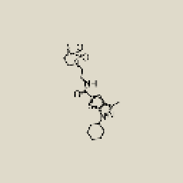 Cc1nn(C2CCCCC2)c2sc(C(=O)NCCN3CCN(C)S3(=O)=O)cc12